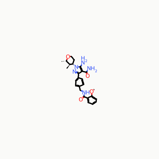 COc1ccccc1C(=O)NCc1ccc(-c2nn([C@H]3CCO[C@@H](C)[C@@H]3C)c(N)c2C(N)=O)cc1